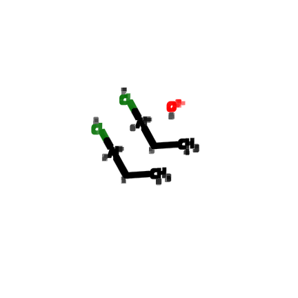 C[CH2][Al+][Cl].C[CH2][Al+][Cl].[O-2]